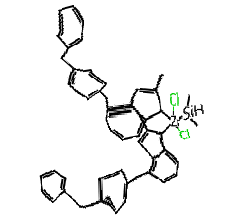 CC1=Cc2c(-c3ccc(Cc4ccccc4)cc3)cccc2[CH]1[Zr]([Cl])([Cl])([CH]1C(C)=Cc2c(-c3ccc(Cc4ccccc4)cc3)cccc21)[SiH](C)C